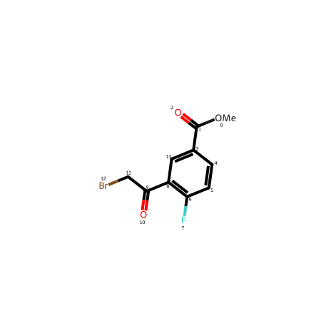 COC(=O)c1ccc(F)c(C(=O)CBr)c1